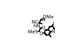 CON=CC(C)(C#N)NC(=O)C(Oc1cc(C)c2ncc(I)cc2c1)SC